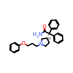 NC(=O)C(c1ccccc1)(c1ccccc1)[C@@H]1CCN(CCCOc2ccccc2)C1